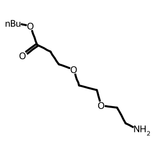 CCCCOC(=O)CCOCCOCCN